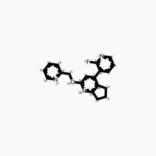 Fc1ncccc1-c1cc(OCc2ccccn2)nc2c1CCC2